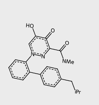 CNC(=O)c1nn(-c2ccccc2-c2ccc(CC(C)C)cc2)cc(O)c1=O